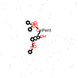 CCCCCC(CCC1C2Cc3cccc(OCC(=O)OCc4ccccc4)c3CC2C[C@H]1O)OCCOP(=O)(OCc1ccccc1)OCc1ccccc1